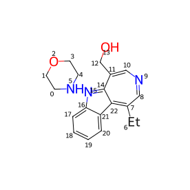 C1COCCN1.CCc1cncc(CO)c2nc3ccccc3c1-2